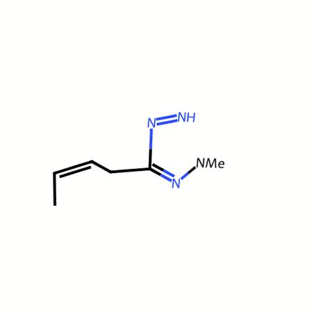 C/C=C\C/C(N=N)=N/NC